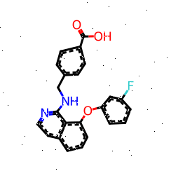 O=C(O)c1ccc(CNc2nccc3cccc(Oc4cccc(F)c4)c23)cc1